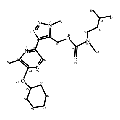 Cc1nc(-c2nnn(C)c2COC(=O)N(C)CCC(C)C)cnc1OC1CCCCC1